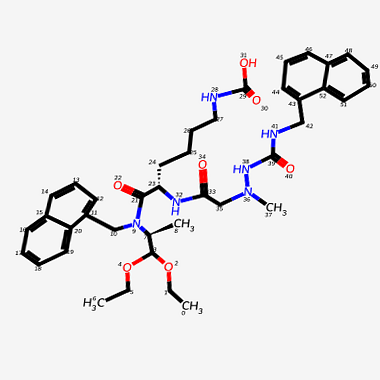 CCOC(OCC)[C@H](C)N(Cc1cccc2ccccc12)C(=O)[C@H](CCCCNC(=O)O)NC(=O)CN(C)NC(=O)NCc1cccc2ccccc12